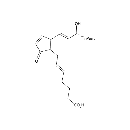 CCCCC[C@@H](O)C=CC1C=CC(=O)C1CC=CCCCC(=O)O